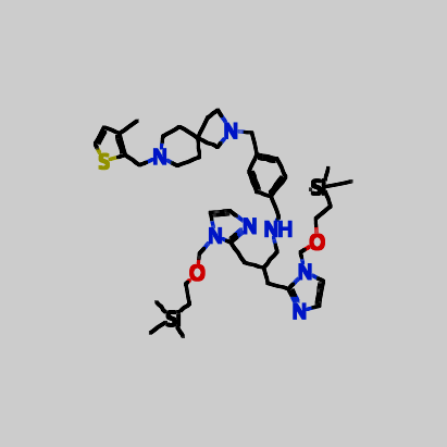 Cc1ccsc1CN1CCC2(CC1)CCN(Cc1ccc(CNCC(Cc3nccn3COCC[Si](C)(C)C)Cc3nccn3COCC[Si](C)(C)C)cc1)C2